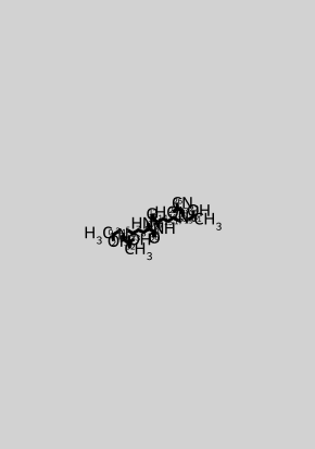 CC(O)CN(CCCCC1NC(=O)C(CCCCN(CC(C)O)CC(O)C#N)NC1=O)CC(C)O